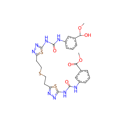 COC(=O)c1cccc(NC(=O)Nc2nnc(CCSCCc3nnc(NC(=O)Nc4cccc(C(O)OC)c4)s3)s2)c1